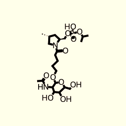 CC(=O)NC1C(OCCCCC(=O)N2C[C@H](C)C[C@H]2COP(=O)(O)OC(C)C)OC(CO)C(O)C1O